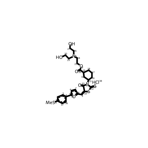 CSc1ccc(-c2ccc(/C=C3/SC(=S)N(C4CCCC(C(=O)OCCN(CCO)CCO)C4)C3=O)o2)cc1.Cl